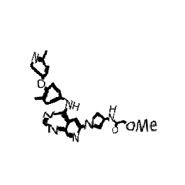 COCC(=O)NC1CN(c2cc3c(Nc4ccc(Oc5ccc(C)nc5)c(C)c4)ncnc3cn2)C1